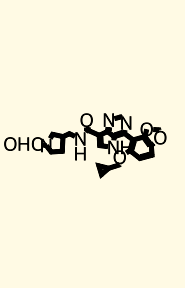 O=CN1CCC(CNC(=O)c2c[nH]c3c(-c4c(OCC5CC5)ccc5c4OCO5)ncnc23)C1